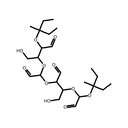 CCC(C)(CC)OC(C=O)OC(CO)C(C=O)OC(C=O)OC(CO)C(C=O)OC(C)(CC)CC